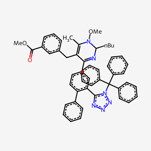 CCCCC1N=C(c2ccc(-c3ccccc3)c(-c3nnnn3C(c3ccccc3)(c3ccccc3)c3ccccc3)c2)C(Cc2cccc(C(=O)OC)c2)=C(C)N1OC